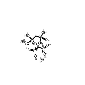 O=P(O)(O)CP(=O)(O)O.O=[PH]([O-])C[PH](=O)[O-].[Na+].[Na+]